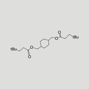 CC(C)(C)CCC(=O)OCC1CCC(COC(=O)CCC(C)(C)C)CC1